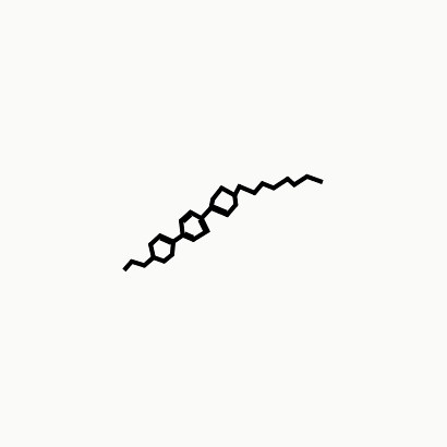 CCCCCCCCC1CC=C(c2ccc(C3=CCC(CCC)CC3)cc2)CC1